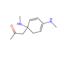 CNC1=CCC(CC(C)=O)(NC)C=C1